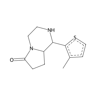 Cc1ccsc1C1NCCN2C(=O)CCC12